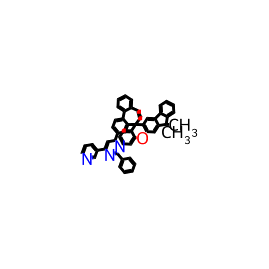 CC1(C)c2ccccc2-c2cc3c(cc21)Oc1ccccc1C31c2ccccc2-c2ccccc2-c2ccc(-c3cc(-c4cccnc4)nc(-c4ccccc4)n3)cc21